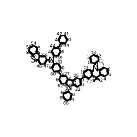 CC1(C)c2ccccc2N(c2ccccc2)c2ccc(-c3ccc4c(c3)c3cc(-c5ccc(N(c6ccc(-c7ccccc7)cc6)c6ccc7sc8ccccc8c7c6)cc5)ccc3n4-c3ccccc3)cc21